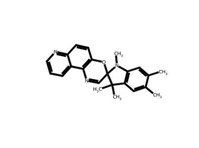 Cc1cc2c(cc1C)C(C)(C)C1(C=Nc3c(ccc4ncccc34)O1)N2C